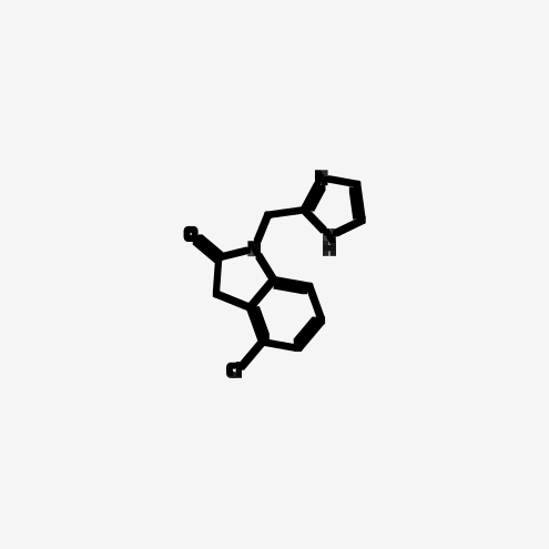 O=C1Cc2c(Cl)cccc2N1Cc1ncc[nH]1